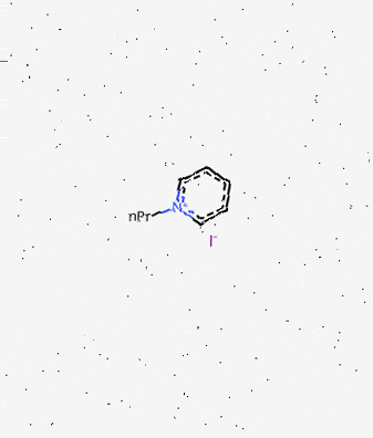 CCC[n+]1ccccc1.[I-]